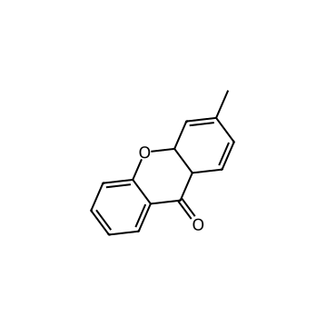 CC1=CC2Oc3ccccc3C(=O)C2C=C1